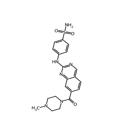 CN1CCN(C(=O)c2ccc3cnc(Nc4ccc(S(N)(=O)=O)cc4)nc3c2)CC1